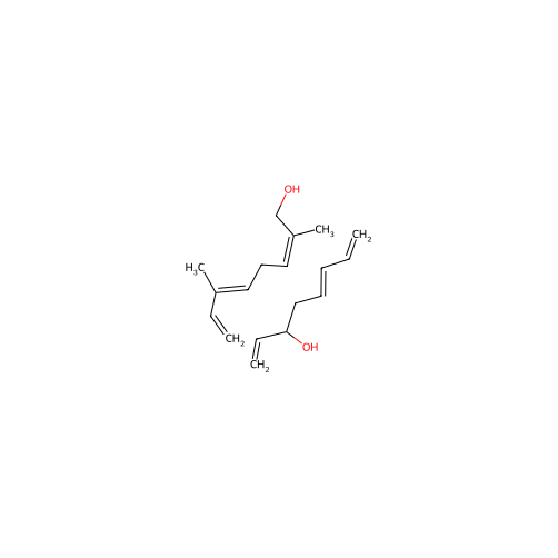 C=CC(C)=CCC=C(C)CO.C=CC=CCC(O)C=C